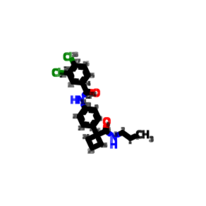 CCCNC(=O)C1(c2ccc(NC(=O)c3ccc(Cl)c(Cl)c3)cc2)CCC1